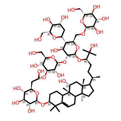 C[C@H](CC[C@@H](O[C@@H]1O[C@H](CO[C@H]2O[C@H](CO)[C@@H](O)[C@H](O)[C@H]2O)[C@@H](C2C[C@@H](O)[C@H](O)[C@@H](CO)O2)[C@H](O)[C@H]1O[C@@H]1O[C@H](CO)[C@@H](O)[C@H](O)[C@H]1O)C(C)(C)O)C1CC[C@@]2(C)C3CC=C4C(CC[C@H](O[C@@H]5O[C@H](CCO)[C@@H](O)[C@H](O)[C@H]5O)C4(C)C)[C@]3(C)[C@H](O)C[C@]12C